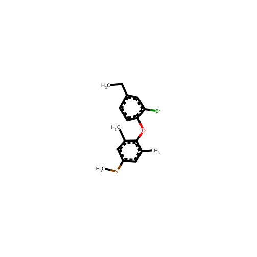 CCc1ccc(Oc2c(C)cc(SC)cc2C)c(Br)c1